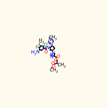 CCOC(=O)C(C)COC(=O)c1cn(-c2ccc(N3CCN(C)CC3)c(NC(=O)c3cc(N)c(F)c(C)c3Cl)c2)nn1